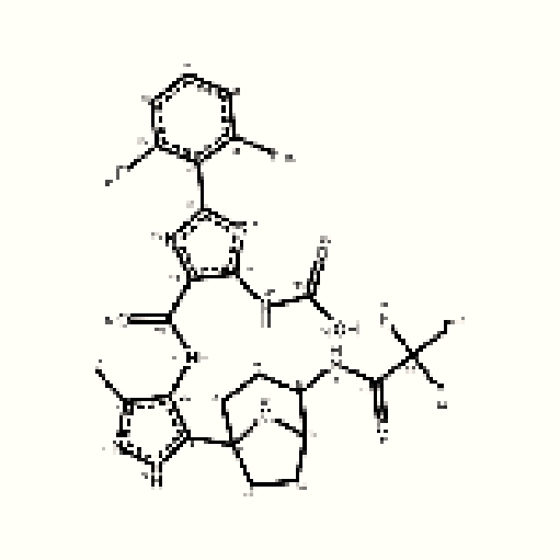 Cc1n[nH]c(C23CCC(NC(=O)C(F)(F)F)C(CC2)O3)c1NC(=O)c1nc(-c2c(F)cccc2F)sc1NC(=O)O